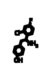 NC(Cc1ccc(O)cc1)c1ccc(F)cc1Cl